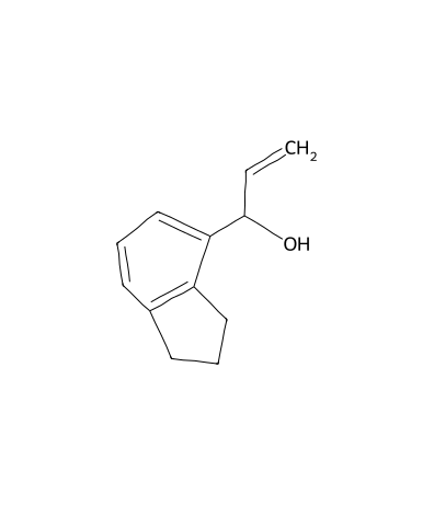 C=CC(O)c1cccc2c1CCC2